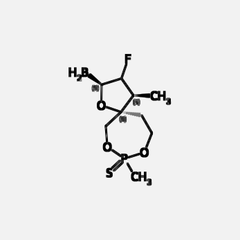 B[C@@H]1O[C@@]2(CCOP(C)(=S)OC2)[C@H](C)C1F